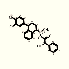 CN(OC(=O)[C@H](O)c1ccccc1)C1CCC(c2ccc(Cl)c(Cl)c2)c2ccccc21